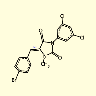 CN1C(=O)N(c2cc(Cl)cc(Cl)c2)C(=O)/C1=C/c1ccc(Br)cc1